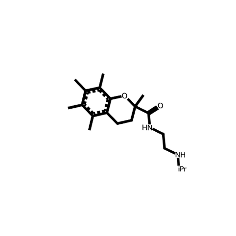 Cc1c(C)c(C)c2c(c1C)CCC(C)(C(=O)NCCNC(C)C)O2